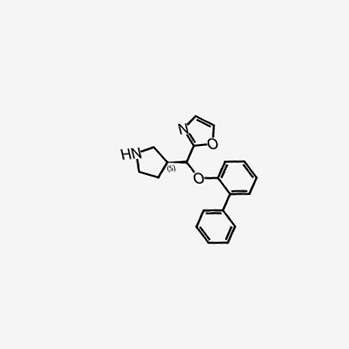 c1ccc(-c2ccccc2OC(c2ncco2)[C@H]2CCNC2)cc1